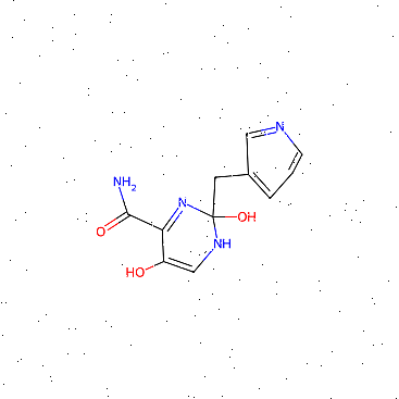 NC(=O)C1=NC(O)(Cc2cccnc2)NC=C1O